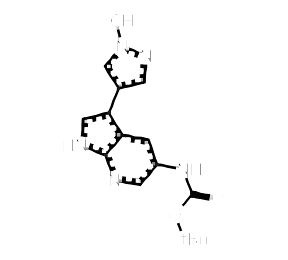 Cn1cc(-c2c[nH]c3ncc(NC(=O)OC(C)(C)C)cc23)cn1